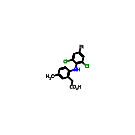 CCc1cc(Cl)c(Nc2ccc(C)cc2CC(=O)O)c(Cl)c1